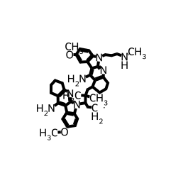 [CH2]CC(n1c2ccc(OC)cc2c2c(N)c3c(nc21)CCCC3)C(C)(C)CC1CCCc2nc3c(c(N)c21)c1cc(OC)ccc1n3CCCNC